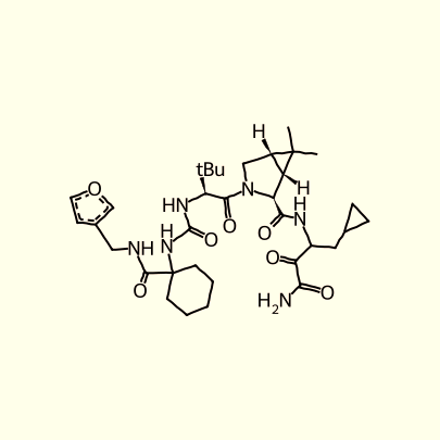 CC(C)(C)[C@H](NC(=O)NC1(C(=O)NCc2ccoc2)CCCCC1)C(=O)N1C[C@H]2[C@@H]([C@H]1C(=O)NC(CC1CC1)C(=O)C(N)=O)C2(C)C